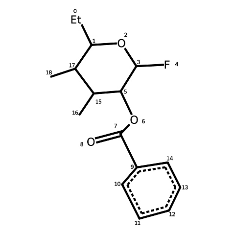 CCC1OC(F)C(OC(=O)c2ccccc2)C(C)C1C